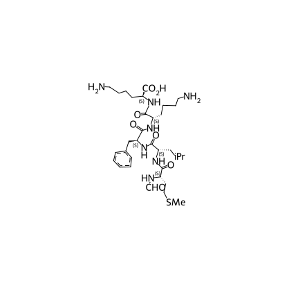 CSCC[C@H](NC=O)C(=O)N[C@@H](CC(C)C)C(=O)N[C@@H](Cc1ccccc1)C(=O)N[C@@H](CCCCN)C(=O)N[C@@H](CCCCN)C(=O)O